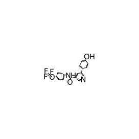 O=C(Nc1ccc(OC(F)(F)F)cc1)c1cncc(-c2ccc(O)cc2)c1